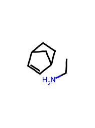 C1=CC2CCC1C2.CCN